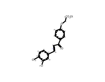 CCOC(=O)COc1ccc(C(=O)/C=C/c2ccc(Cl)c(Cl)c2)cc1